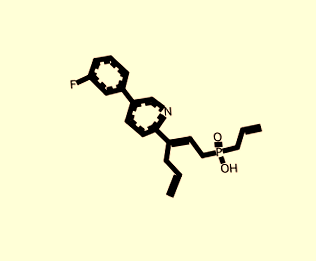 C=CCC(=CCP(=O)(O)CC=C)c1ccc(-c2cccc(F)c2)cn1